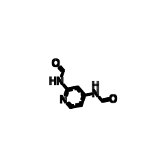 O=CNc1ccnc(NC=O)c1